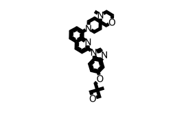 CN1CCOCC12CCN(c1cccc3ccc(-n4cnc5cc(OCC6(C)COC6)ccc54)nc13)CC2